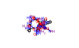 CC(=O)NCCCC[C@@H]1NC(=O)[C@H](Cc2c[nH]c3c(C)cccc23)NC(=O)[C@H]([C@@H](C)OP)NC(=O)[C@H](CC(=O)NP)NC(=O)[C@@H](NC(C)=O)C(C)(C)SSC(C)(C)[C@@H](C(=O)N[C@@H](Cc2ccc(OCCN=P)cc2)C(=O)N[C@@H](Cc2ccc3ccccc3c2)C(=O)NC2(C(=O)N[C@@H](CCC(=O)OP)C(=O)N[C@@H](CC(=O)N=P)C(=O)N[C@@H](Cc3cccnc3)C(=O)N(C)CC(=O)NP)CCOCC2)NC1=O